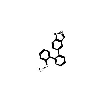 COc1ccccc1-c1ncccc1-c1ccc2[nH]ncc2c1